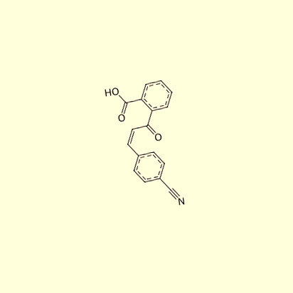 N#Cc1ccc(/C=C\C(=O)c2ccccc2C(=O)O)cc1